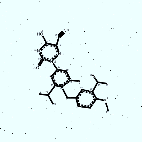 CSc1ccc(Cc2c(C)cc(-n3nc(C#N)c(O)nc3=O)cc2C(C)C)cc1C(C)C